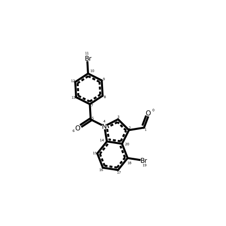 O=Cc1cn(C(=O)c2ccc(Br)cc2)c2cccc(Br)c12